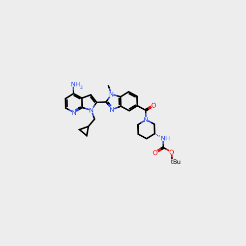 Cn1c(-c2cc3c(N)ccnc3n2CC2CC2)nc2cc(C(=O)N3CCC[C@@H](NC(=O)OC(C)(C)C)C3)ccc21